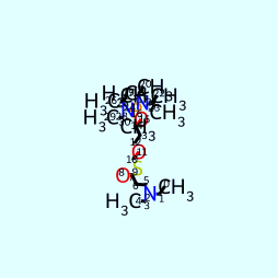 CCN(CC)CCC(=O)SCOCCCOP(N(C(C)C)C(C)C)N(C(C)C)C(C)C